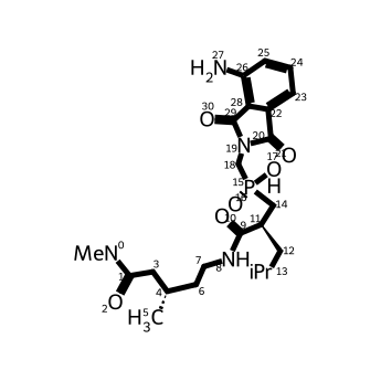 CNC(=O)C[C@@H](C)CCNC(=O)[C@H](CC(C)C)CP(=O)(O)CN1C(=O)c2cccc(N)c2C1=O